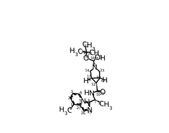 Cc1cccn2c([C@H](C)NC(=O)[C@H]3[C@@H]4CN(C(O)OC(C)(C)C)C[C@@H]43)ncc12